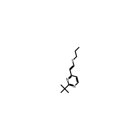 CCCS/C=C/c1ccnc(C(C)(C)C)n1